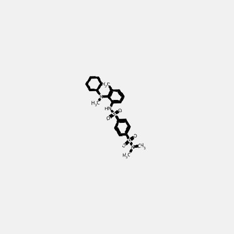 Cc1cccc(NS(=O)(=O)c2ccc(S(=O)(=O)N(C)C)cc2)c1N(C)C1CCCCC1